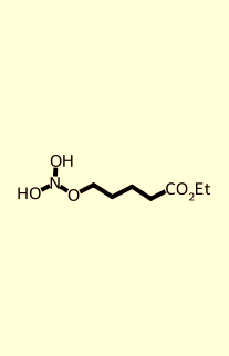 CCOC(=O)CCCCON(O)O